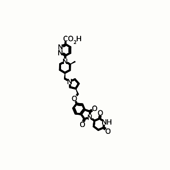 C[C@H]1C[C@@H](CN2CC[C@@H](COc3ccc4c(c3)C(=O)N(C3CCC(=O)NC3=O)C4=O)C2)CCN1c1ccc(C(=O)O)nn1